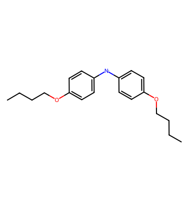 CCCCOc1ccc([N]c2ccc(OCCCC)cc2)cc1